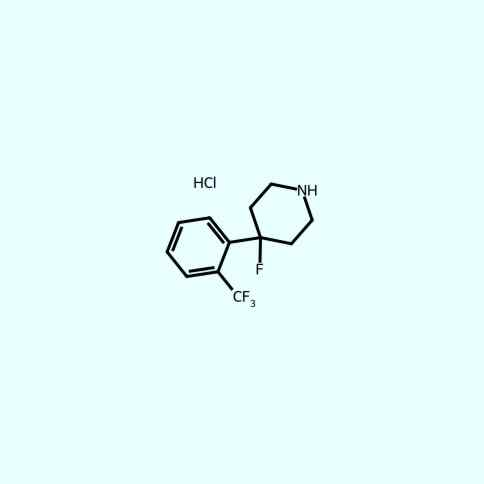 Cl.FC(F)(F)c1ccccc1C1(F)CCNCC1